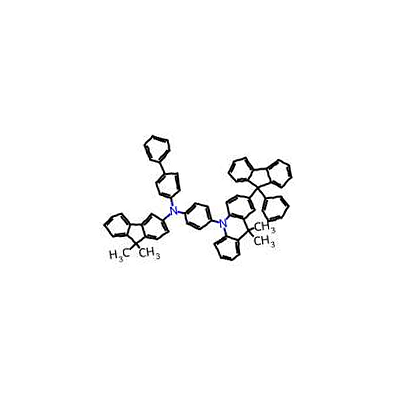 CC1(C)c2ccccc2-c2cc(N(c3ccc(-c4ccccc4)cc3)c3ccc(N4c5ccccc5C(C)(C)c5cc(C6(c7ccccc7)c7ccccc7-c7ccccc76)ccc54)cc3)ccc21